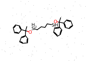 CC(O[SiH2]CCCC[SiH2]OC(C)(c1ccccc1)c1ccccc1)(c1ccccc1)c1ccccc1